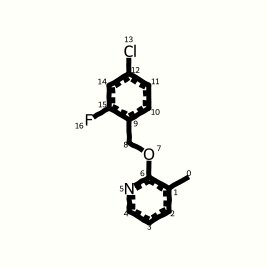 Cc1cccnc1OCc1ccc(Cl)cc1F